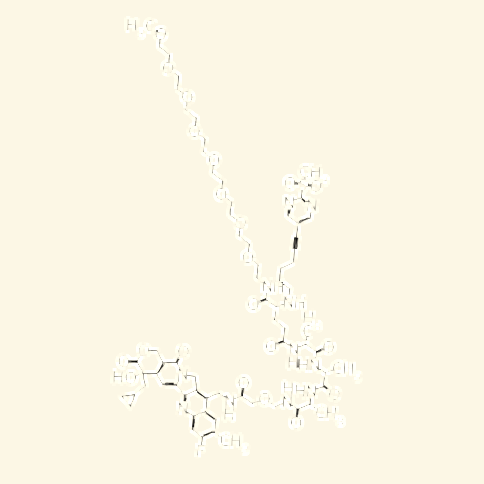 COCCOCCOCCOCCOCCOCCOCCOCCNC(=O)[C@H](CCC(=O)N[C@@H](C)C(=O)N[C@@H](C)C(=O)N[C@@H](C)C(=O)NCOCC(=O)NCc1c2c(nc3cc(F)c(C)cc13)-c1cc3c(c(=O)n1C2)COC(=O)[C@]3(O)CC1CC1)NCCCCC#Cc1cnc(S(C)(=O)=O)nc1